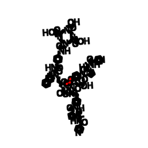 C[C@@H](NC(=O)c1ccncc1)C(=O)N1CCC[C@H]1C(=O)Nc1ccc(COC(=O)N(C(=O)N(C(=O)OCc2ccc(NC(=O)[C@@H]3CCCN3C(=O)[C@@H](C)NC(=O)c3ccncc3)cc2)[C@@H](CCC(=O)O)C(=O)O)[C@@H](CCCCNC(=O)[C@H](Cc2ccc3ccccc3c2)NC(=O)[C@H]2CC[C@H](CNC(=O)CN3CCN(CC(=O)O)CCN(CC(=O)O)CCN(CC(=O)O)CC3)CC2)C(=O)O)cc1